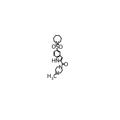 CN1CCN(C(=O)c2cc3cc(S(=O)(=O)N4CCCCCC4)ccc3[nH]2)CC1